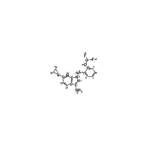 Nc1n[n]([Sn][c]2ccccc2OC(F)F)c2nc(C3CC3)ccc12